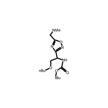 CCCCOCC(NC(=O)OC(C)(C)C)c1noc(CNC)n1